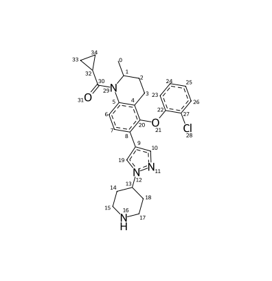 CC1CCc2c(ccc(-c3cnn(C4CCNCC4)c3)c2Oc2ccccc2Cl)N1C(=O)C1CC1